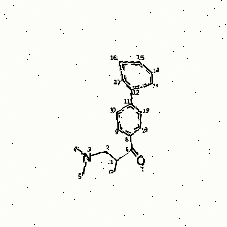 CC(CN(C)C)C(=O)c1ccc(-c2ccccc2)cc1